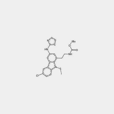 CC(C)(C)OC(=O)NCCc1cc(Nc2nccs2)cc2c3cc(Cl)ccc3n(SI)c12